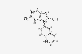 Cl.Clc1ncc2nnn(-c3ccc4ncccc4c3)c2n1